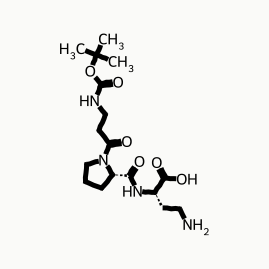 CC(C)(C)OC(=O)NCCC(=O)N1CCC[C@H]1C(=O)N[C@@H](CCN)C(=O)O